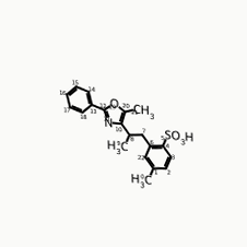 Cc1ccc(S(=O)(=O)O)c(CC(C)c2nc(-c3ccccc3)oc2C)c1